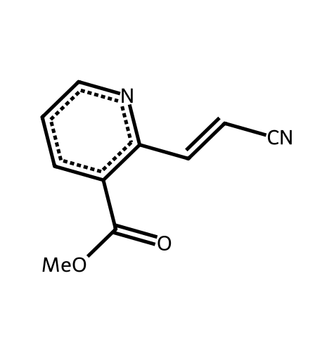 COC(=O)c1cccnc1C=CC#N